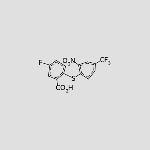 O=C(O)c1cc(F)ccc1Sc1ccc(C(F)(F)F)cc1[N+](=O)[O-]